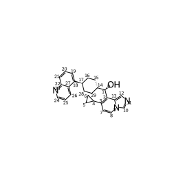 O[C@@H](c1c(C2CC2)ccn2cncc12)[C@H]1CC[C@H](c2cccc3ncccc32)CC1